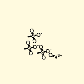 CS(=O)(=O)[O-].CS(=O)(=O)[O-].CS(=O)(=O)[O-].[O]=[V+3]